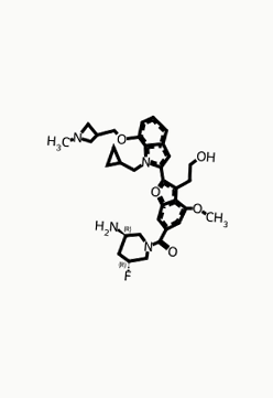 COc1cc(C(=O)N2C[C@H](N)C[C@@H](F)C2)cc2oc(-c3cc4cccc(OCC5CN(C)C5)c4n3CC3CC3)c(CCO)c12